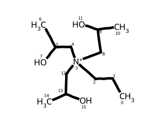 CCC[N+](CC(C)O)(CC(C)O)CC(C)O